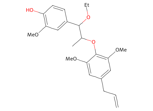 C=CCc1cc(OC)c(OC(C)C(OCC)c2ccc(O)c(OC)c2)c(OC)c1